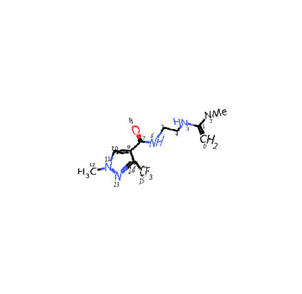 C=C(NC)NCCNC(=O)c1cn(C)nc1C(F)(F)F